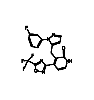 O=c1[nH]ccc(-c2noc(C(F)(F)F)n2)c1Cc1ccnn1-c1cccc(F)c1